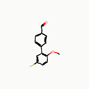 COc1ccc(F)cc1-c1ccc(C=O)cc1